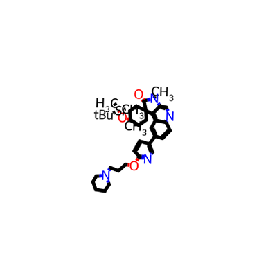 CN1C(=O)C2(CCC(C)(O[Si](C)(C)C(C)(C)C)CC2)c2c1cnc1ccc(-c3ccc(OCCCN4CCCCC4)nc3)cc21